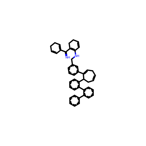 N=C(C1=CCCC=C1)C1=C(NCc2cccc(C3=CCC=CCC3c3ccccc3-c3ccccc3-c3ccccc3)c2)C=CCC1